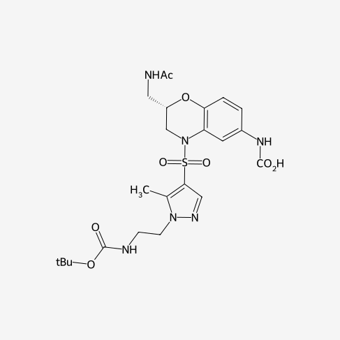 CC(=O)NC[C@H]1CN(S(=O)(=O)c2cnn(CCNC(=O)OC(C)(C)C)c2C)c2cc(NC(=O)O)ccc2O1